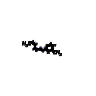 C\C=C/C=C\C=C\c1cccc(C)c1